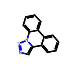 c1ccc2c(c1)c1ccccc1n1nncc21